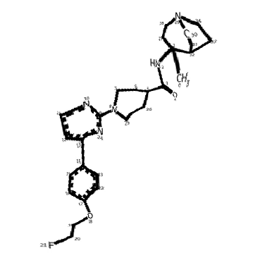 CC1(NC(=O)C2CCN(c3nccc(-c4ccc(OCCF)cc4)n3)CC2)CCN2CCC1CC2